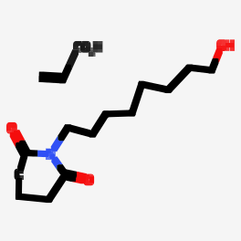 C=CC(=O)O.O=C1CCCC(=O)N1CCCCCCCCO